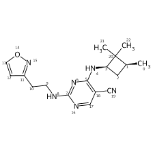 C[C@H]1C[C@@H](Nc2nc(NCCc3ccon3)ncc2C#N)C1(C)C